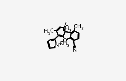 Cc1cc(C)c2c(oc3c(C#N)ccc(C)c32)c1-c1cccc[n+]1C